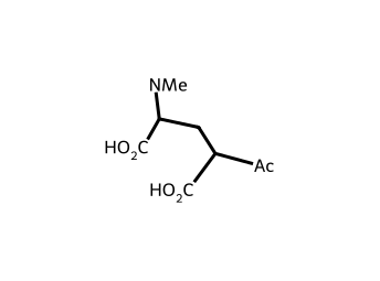 CNC(CC(C(C)=O)C(=O)O)C(=O)O